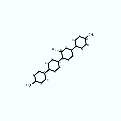 CC1CCC(C2CCC(C3CCC(C4CCC(C)CC4)CC3F)CC2)CC1